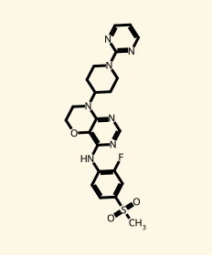 CS(=O)(=O)c1ccc(Nc2ncnc3c2OCCN3C2CCN(c3ncccn3)CC2)c(F)c1